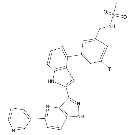 CS(=O)(=O)NCc1cc(F)cc(-c2nccc3[nH]c(-c4n[nH]c5ccc(-c6cccnc6)nc45)cc23)c1